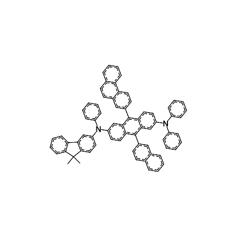 CC1(C)c2ccccc2-c2cc(N(c3ccccc3)c3ccc4c(-c5ccc6ccccc6c5)c5cc(N(c6ccccc6)c6ccccc6)ccc5c(-c5ccc6c(ccc7ccccc76)c5)c4c3)ccc21